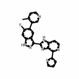 Cc1ccncc1-c1cc2c(-c3nc4c(-c5cccs5)nccc4[nH]3)n[nH]c2cc1F